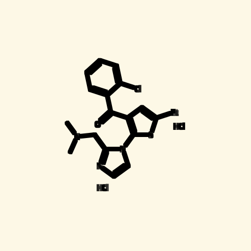 CCc1cc(C(=O)c2ccccc2Cl)c(-n2ccnc2CN(C)C)s1.Cl.Cl